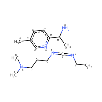 CCN=C=NCCCN(C)C.Cc1ccc(C(C)N)nc1